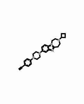 C#Cc1ccc(N2CCN(c3ccc4c(c3)nc3n4CCN(C4CCC4)CC3)CC2)cc1